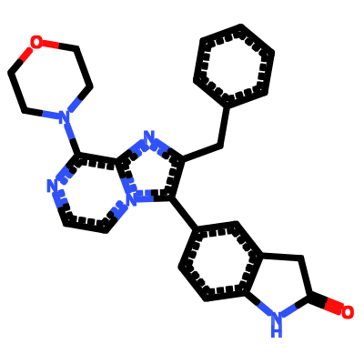 O=C1Cc2cc(-c3c(Cc4ccccc4)nc4c(N5CCOCC5)nccn34)ccc2N1